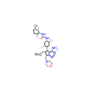 COCc1c(-c2cc(F)c(NC(=O)Nc3cc(C(F)(F)F)ccc3F)cc2F)c2c(N)ncnn2c1CN1CCOCC1